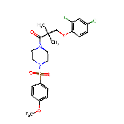 CC(C)(COc1ccc(Cl)cc1F)C(=O)N1CCN(S(=O)(=O)c2ccc(OC(F)(F)F)cc2)CC1